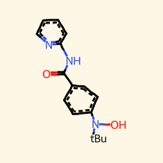 CC(C)(C)N(O)c1ccc(C(=O)Nc2ccccn2)cc1